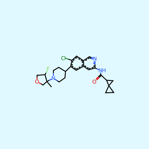 CC1(N2CCC(c3cc4cc(NC(=O)C5CC56CC6)ncc4cc3Cl)CC2)COCC1F